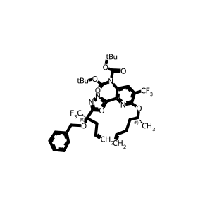 C=CCC[C@@H](C)Oc1nc(-c2nnc([C@@](CC=C)(OCc3ccccc3)C(F)(F)F)o2)c(N(C(=O)OC(C)(C)C)C(=O)OC(C)(C)C)cc1C(F)(F)F